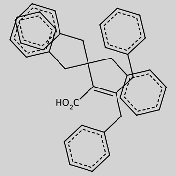 O=C(O)C(=C(Cc1ccccc1)Cc1ccccc1)C(Cc1ccccc1)(Cc1ccccc1)Cc1ccccc1